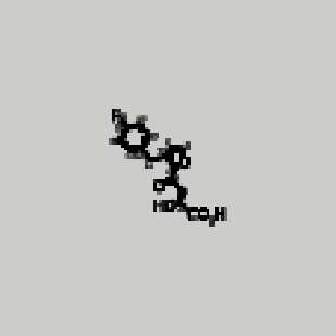 O=C(O)C(O)=CC(=O)c1occc1Cc1ccc(F)cc1